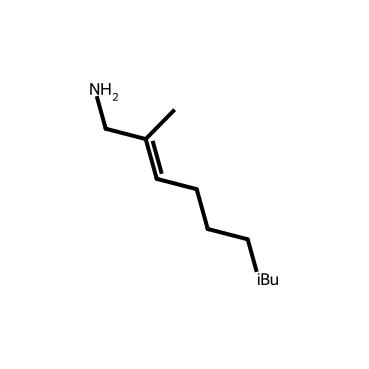 CCC(C)CCC/C=C(\C)CN